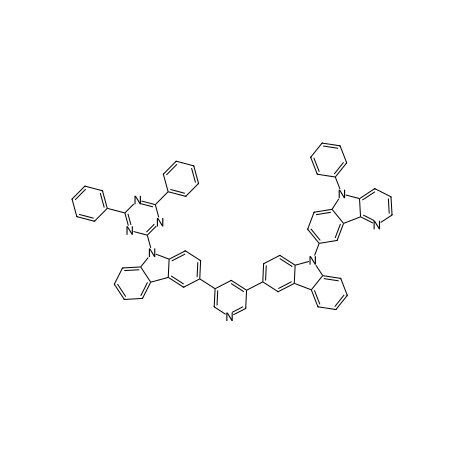 c1ccc(-c2nc(-c3ccccc3)nc(-n3c4ccccc4c4cc(-c5cncc(-c6ccc7c(c6)c6ccccc6n7-c6ccc7c(c6)c6ncccc6n7-c6ccccc6)c5)ccc43)n2)cc1